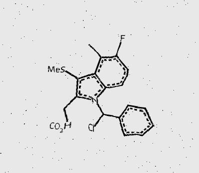 CSc1c(CC(=O)O)n(C(Cl)c2ccccc2)c2ccc(F)c(C)c12